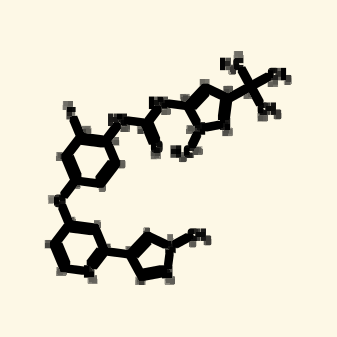 Cn1cc(-c2cc(Oc3ccc(NC(=O)Nc4cc(C(C)(C)C)nn4C)c(F)c3)ccn2)cn1